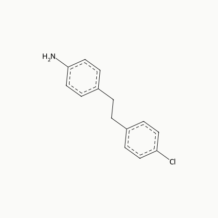 Nc1ccc(CCc2ccc(Cl)cc2)cc1